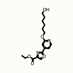 CCOC(=O)c1coc(-c2ccnc(OCCCCCCO)c2)n1